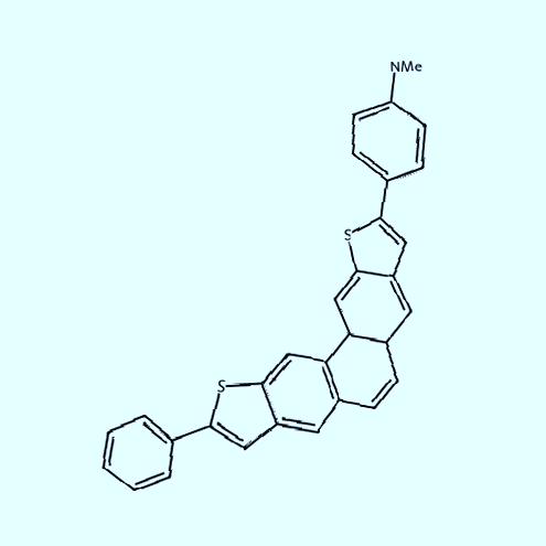 CNc1ccc(-c2cc3c(s2)=CC2c4cc5sc(-c6ccccc6)cc5cc4C=CC2C=3)cc1